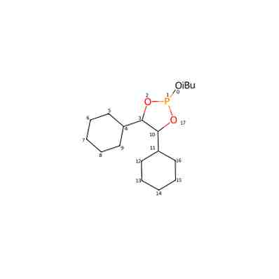 CC(C)COP1OC(C2CCCCC2)C(C2CCCCC2)O1